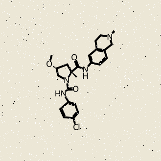 CO[C@H]1CN(C(=O)Nc2ccc(Cl)cc2)[C@@](C)(C(=O)Nc2ccc3c(c2)CCN(C)C3)C1